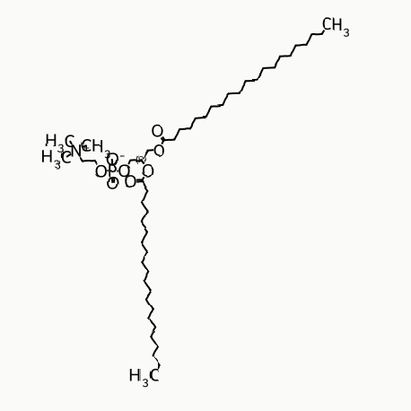 CCCCCCCCCCCCCCCCCCCCC(=O)OC[C@H](COP(=O)([O-])OCC[N+](C)(C)C)OC(=O)CCCCCCCCCCCCCCCCCCCC